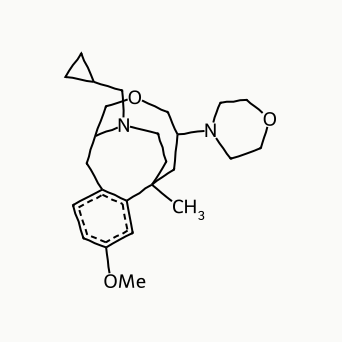 COc1ccc2c(c1)C1(C)CCN(CC3CC3)C(COCC(N3CCOCC3)C1)C2